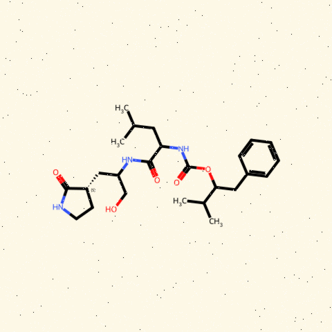 CC(C)CC(NC(=O)OC(Cc1ccccc1)C(C)C)C(=O)NC(CO)C[C@@H]1CCNC1=O